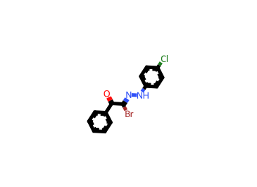 O=C(C(Br)=NNc1ccc(Cl)cc1)c1ccccc1